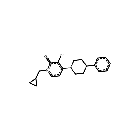 O=c1c(Br)c(N2CCC(c3ccccc3)CC2)ccn1CC1CC1